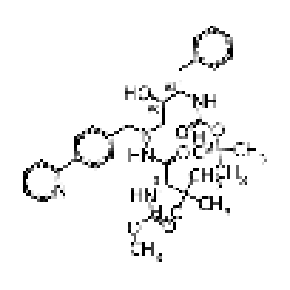 COC(=O)N[C@H](C(=O)NN(Cc1ccc(-c2ccccn2)cc1)C[C@@H](O)[C@H](Cc1ccccc1)NC(=O)OC(C)(C)C)C(C)(C)C